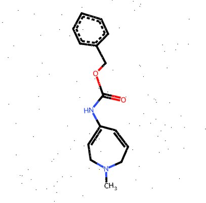 CN1CC=CC(NC(=O)OCc2ccccc2)=CC1